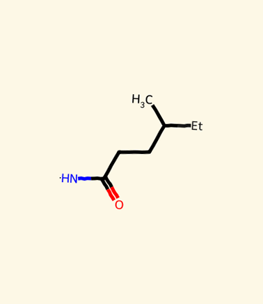 CCC(C)CCC([NH])=O